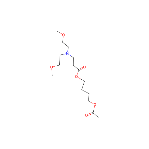 COCCN(CCOC)CCC(=O)OCCCCOC(C)=O